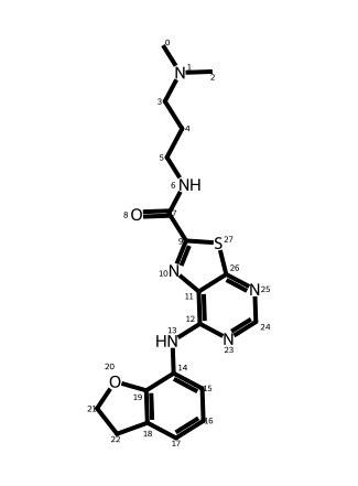 CN(C)CCCNC(=O)c1nc2c(Nc3cccc4c3OCC4)ncnc2s1